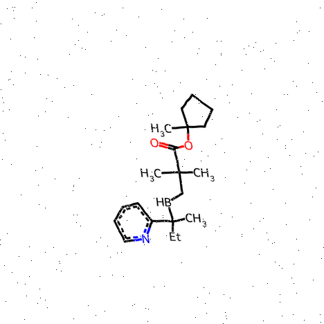 CCC(C)(BCC(C)(C)C(=O)OC1(C)CCCC1)c1ccccn1